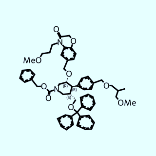 COCCCN1C(=O)COc2ccc(CO[C@H]3CN(C(=O)OCc4ccccc4)C[C@@H](COC(c4ccccc4)(c4ccccc4)c4ccccc4)[C@@H]3c3ccc(COCC(C)COC)cc3)cc21